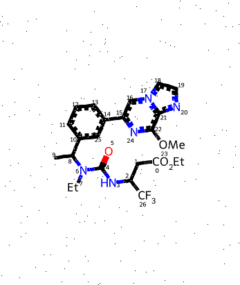 CCOC(=O)CC(NC(=O)N(CC)C(C)c1cccc(-c2cn3ccnc3c(OC)n2)c1)C(F)(F)F